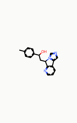 Cc1ccc(C(O)CC2c3ncccc3-c3cncn32)cc1